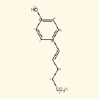 O=C(O)CCC=Cc1ccc(O)cc1